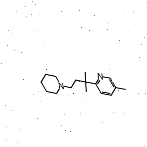 Cc1ccc(C(C)(C)CCN2CCCCC2)nc1